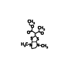 CCOC(=O)C(C(C)=O)=C1SC2C(S1)N(C)CCN2C